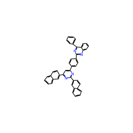 c1ccc(-c2nc(-c3ccc(-c4cc(-c5ccc6ccccc6c5)nc(-c5ccc6ccccc6c5)n4)cc3)nc3ccccc23)cc1